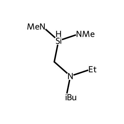 CCC(C)N(CC)C[SiH](NC)NC